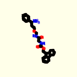 N[C@H](CCOCNC(=O)CNC(=O)OCC1c2ccccc2-c2ccccc21)c1ccccc1